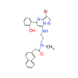 CN(CCCNc1cc(-c2ccccc2O)nc2c(Br)cnn12)C(=O)Cc1ccc2ccccc2c1